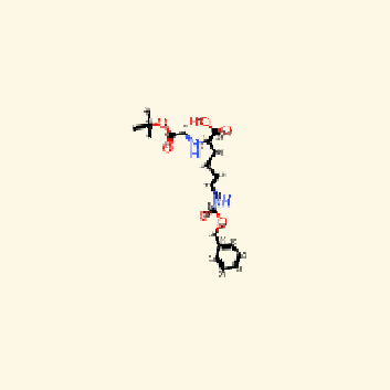 CC(C)(C)OC(=O)CNC(CCCCNC(=O)OCc1ccccc1)C(=O)O